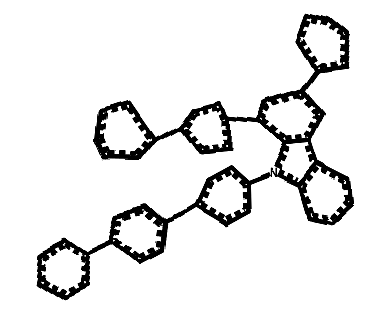 c1ccc(-c2ccc(-c3ccc(-n4c5ccccc5c5cc(-c6ccccc6)cc(-c6ccc(-c7ccccc7)cc6)c54)cc3)cc2)cc1